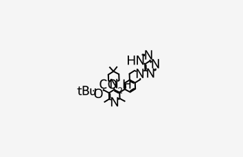 Cc1nc(C)c([C@H](OC(C)(C)C)C(=O)O)c(N2CCC(C)(C)CC2)c1-c1ccc2c(c1)CCN(c1ncnc3nc[nH]c13)C2